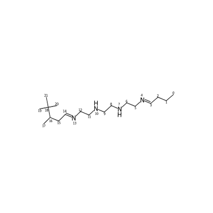 CCCC=NCCNCCNCCN=CCC(C)C(C)(C)C